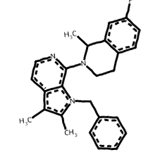 Cc1c(C)n(Cc2ccccc2)c2c(N3CCc4ccc(F)cc4C3C)nccc12